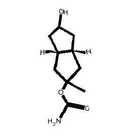 CC1(OC(N)=O)C[C@H]2CC(O)C[C@H]2C1